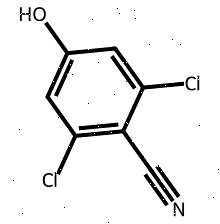 N#Cc1c(Cl)cc(O)cc1Cl